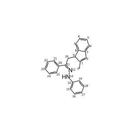 CC1=Cc2ccccc2C1CC(=NNc1ccccc1)c1ccccc1